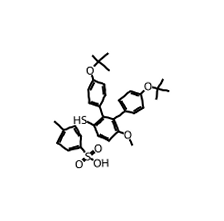 COc1ccc(S)c(-c2ccc(OC(C)(C)C)cc2)c1-c1ccc(OC(C)(C)C)cc1.Cc1ccc(S(=O)(=O)O)cc1